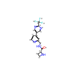 O=C(NCc1cc(-c2cnc(C(F)(F)F)nc2)ccn1)[C@@H]1CCN1